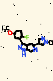 COc1ccc(F)c(-c2n[nH]c3cnc(-c4cnn(C)c4)cc23)c1